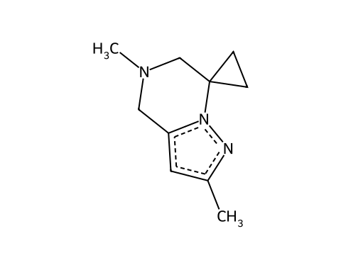 Cc1cc2n(n1)C1(CC1)CN(C)C2